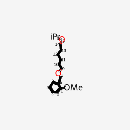 COc1ccccc1COCCCCCCOC(C)C